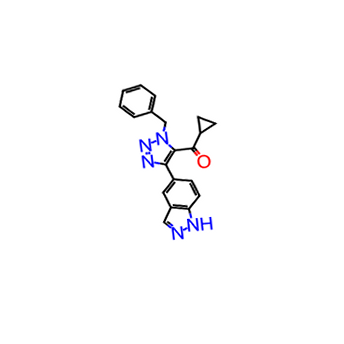 O=C(c1c(-c2ccc3[nH]ncc3c2)nnn1Cc1ccccc1)C1CC1